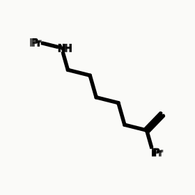 C=C(CCCCCNC(C)C)C(C)C